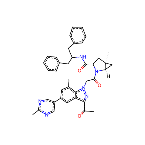 CC(=O)c1nn(CC(=O)N2[C@H](C(=O)NC(Cc3ccccc3)Cc3ccccc3)C[C@@]3(C)C[C@@H]23)c2c(C)cc(-c3cnc(C)nc3)cc12